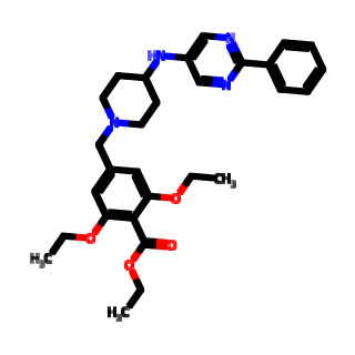 CCOC(=O)c1c(OCC)cc(CN2CCC(Nc3cnc(-c4ccccc4)nc3)CC2)cc1OCC